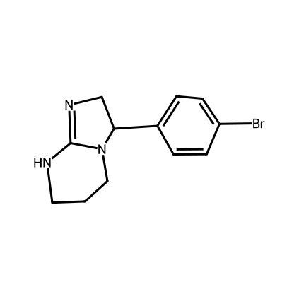 Brc1ccc(C2CN=C3NCCCN32)cc1